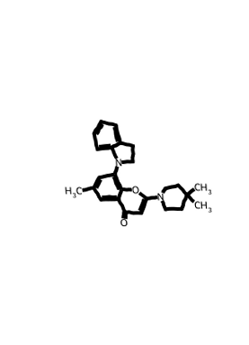 Cc1cc(N2CCc3ccccc32)c2oc(N3CCC(C)(C)CC3)cc(=O)c2c1